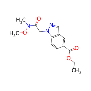 CCOC(=O)c1ccc2c(cnn2CC(=O)N(C)OC)c1